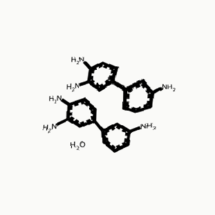 Nc1cccc(-c2ccc(N)c(N)c2)c1.Nc1cccc(-c2ccc(N)c(N)c2)c1.O